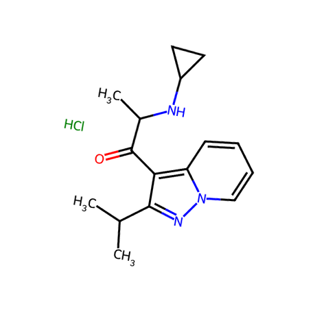 CC(NC1CC1)C(=O)c1c(C(C)C)nn2ccccc12.Cl